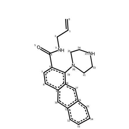 C=CCNC(=O)c1ccc2cc3ccccc3cc2c1N1CCNCC1